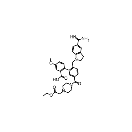 CCOC(=O)CN1CCN(C(=O)c2ccc(CN3CCc4cc(C(=N)N)ccc43)c(-c3ccc(OC)cc3C(=O)O)c2)CC1